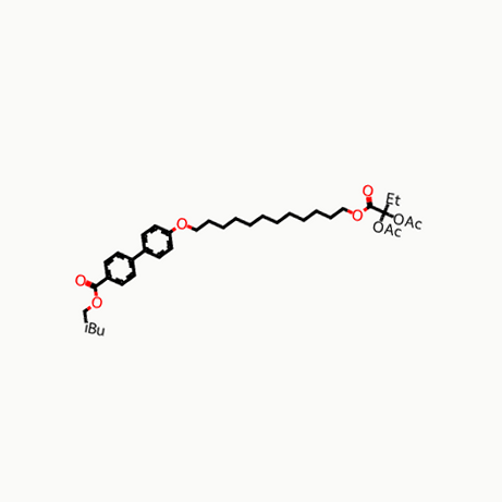 CCC(C)COC(=O)c1ccc(-c2ccc(OCCCCCCCCCCCCOC(=O)C(CC)(OC(C)=O)OC(C)=O)cc2)cc1